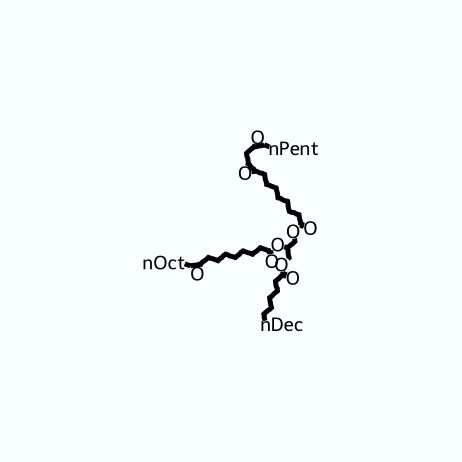 CCCCCCCCCCCCCCCC(=O)OCC(COC(=O)CCCCCCCC1OC1CC1OC1CCCCC)OC(=O)CCCCCCCC1OC1CCCCCCCC